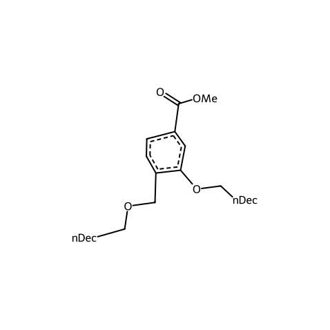 CCCCCCCCCCCOCc1ccc(C(=O)OC)cc1OCCCCCCCCCCC